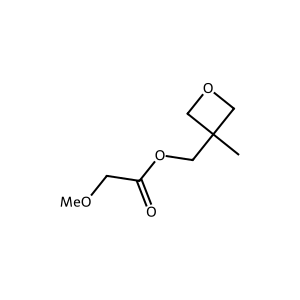 COCC(=O)OCC1(C)COC1